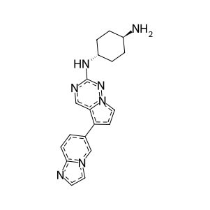 N[C@H]1CC[C@H](Nc2ncc3c(-c4ccc5nccn5c4)ccn3n2)CC1